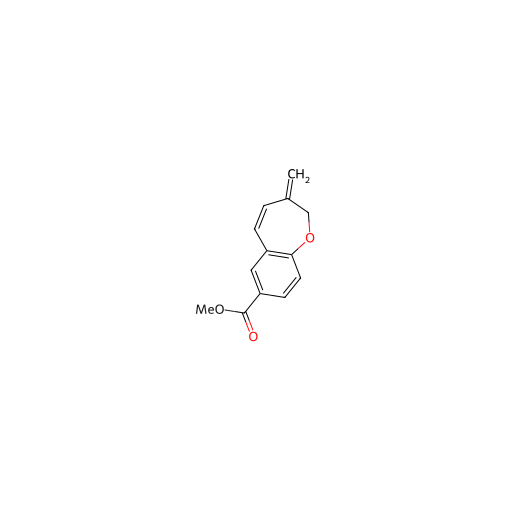 C=C1C=Cc2cc(C(=O)OC)ccc2OC1